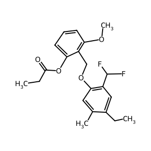 CCC(=O)Oc1cccc(OC)c1COc1cc(C)c(CC)cc1C(F)F